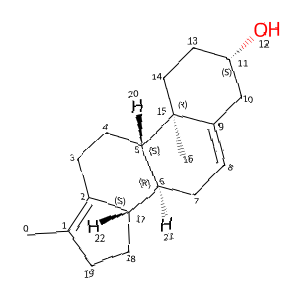 CC1=C2CC[C@H]3[C@@H](CC=C4C[C@@H](O)CC[C@@]43C)[C@@H]2CC1